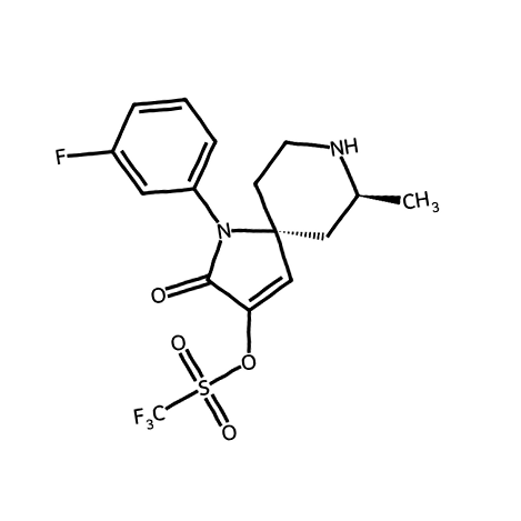 C[C@H]1C[C@@]2(C=C(OS(=O)(=O)C(F)(F)F)C(=O)N2c2cccc(F)c2)CCN1